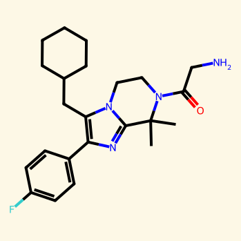 CC1(C)c2nc(-c3ccc(F)cc3)c(CC3CCCCC3)n2CCN1C(=O)CN